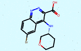 O=C(O)c1nnc2ccc(Br)cc2c1N[C@@H]1CCCOC1